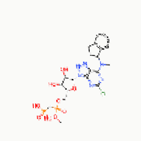 COP(=O)(CP(=O)(O)O)OC[C@H]1O[C@@H](n2nnc3c(N(C)C4CCc5ccccc54)nc(Cl)nc32)[C@H](O)[C@@H]1O